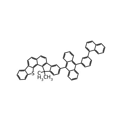 CC1(C)c2ccc(-c3c4ccccc4c(-c4cccc(-c5cccc6ccccc56)c4)c4ccccc34)cc2-c2ccc3ccc4c5ccccc5sc4c3c21